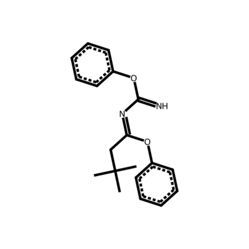 CC(C)(C)CC(=NC(=N)Oc1ccccc1)Oc1ccccc1